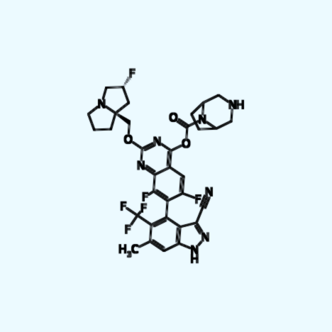 Cc1cc2[nH]nc(C#N)c2c(-c2c(F)cc3c(OC(=O)N4C5CCC4CNC5)nc(OC[C@@]45CCCN4C[C@H](F)C5)nc3c2F)c1C(F)(F)F